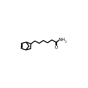 NC(=O)CCCCCC1CC2C=CC1C2